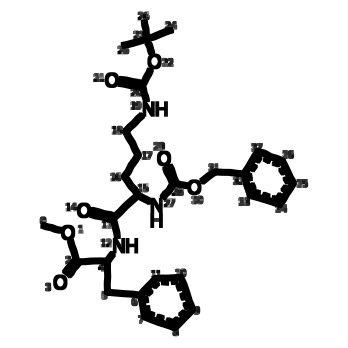 COC(=O)C(Cc1ccccc1)NC(=O)C(CCCNC(=O)OC(C)(C)C)NC(=O)OCc1ccccc1